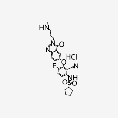 CNCCCn1cnc2ccc(Oc3c(F)ccc(NS(=O)(=O)C4CCCC4)c3C#N)cc2c1=O.Cl